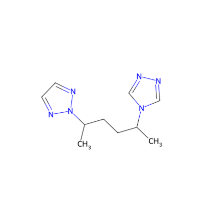 CC(CCC(C)n1nccn1)n1cnnc1